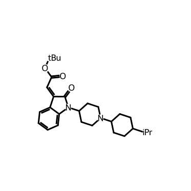 CC(C)C1CCC(N2CCC(N3C(=O)/C(=C\C(=O)OC(C)(C)C)c4ccccc43)CC2)CC1